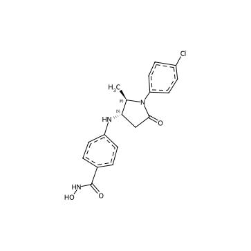 C[C@@H]1[C@@H](Nc2ccc(C(=O)NO)cc2)CC(=O)N1c1ccc(Cl)cc1